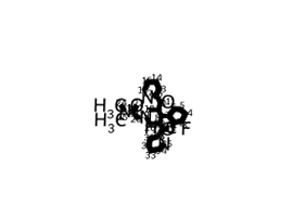 Cc1c(F)cccc1C1C(C(=O)c2ccccn2)CN(CC(=O)N(C)C)CC1C(=O)c1ccccn1